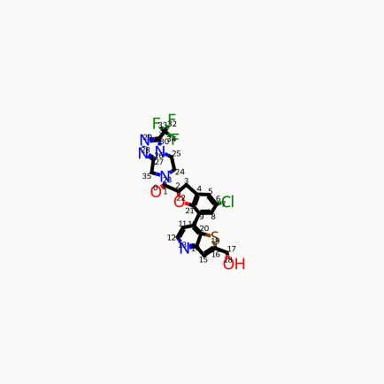 O=C(C1Cc2cc(Cl)cc(-c3ccnc4cc(CO)sc34)c2O1)N1CCn2c(nnc2C(F)(F)F)C1